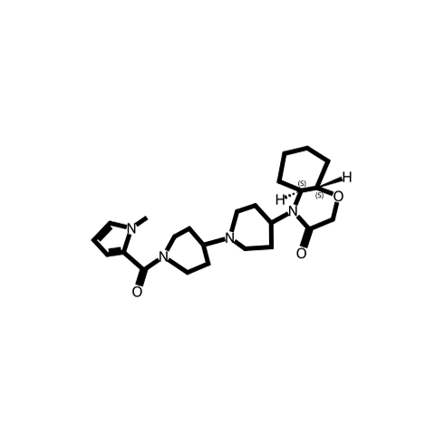 Cn1cccc1C(=O)N1CCC(N2CCC(N3C(=O)CO[C@H]4CCCC[C@@H]43)CC2)CC1